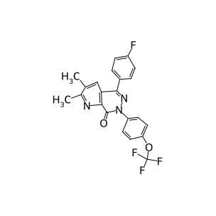 Cc1cc2c(-c3ccc(F)cc3)nn(-c3ccc(OC(F)(F)F)cc3)c(=O)c2nc1C